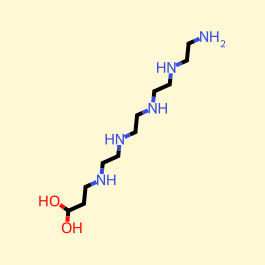 NCCNCCNCCNCCNCCC(O)O